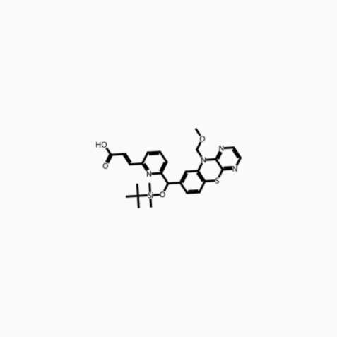 COCN1c2cc(C(O[Si](C)(C)C(C)(C)C)c3cccc(C=CC(=O)O)n3)ccc2Sc2nccnc21